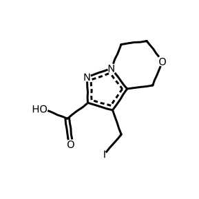 O=C(O)c1nn2c(c1CI)COCC2